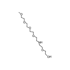 COCCOCCOCCOCCNCCOCCO